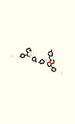 CB(OC(c1ccc(C)cc1)c1ccccn1)c1ccc(Oc2ccc(B(OC(c3ccc(C)cc3)c3ccccn3)c3ccc(-c4ccc(C)cc4)cc3)cc2)cc1